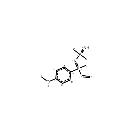 C=PP(C)(=NP(C)(C)=N)c1ccc(OC)cc1